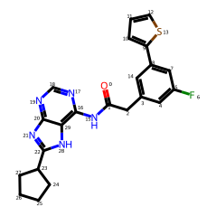 O=C(Cc1cc(F)cc(-c2cccs2)c1)Nc1ncnc2nc(C3CCCC3)[nH]c12